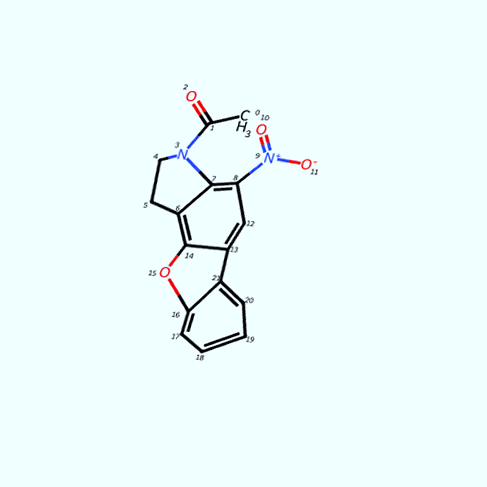 CC(=O)N1CCc2c1c([N+](=O)[O-])cc1c2oc2ccccc21